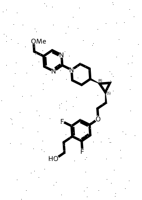 COCc1cnc(N2CCC([C@H]3C[C@H]3CCOc3cc(F)c(CCO)c(F)c3)CC2)nc1